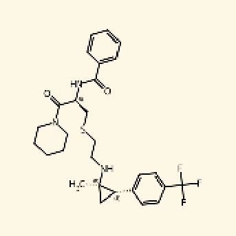 C[C@@]1(NCCSC[C@H](NC(=O)c2ccccc2)C(=O)N2CCCCC2)C[C@H]1c1ccc(C(F)(F)F)cc1